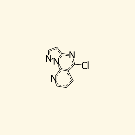 Clc1nc2ccnn2c2ncccc12